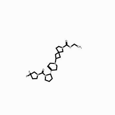 CCOC(=O)N1CCC2(CC(N3CC=C([C@@H]4CCCN4C(=O)N4CCC(F)(F)C4)CC3)C2)C1